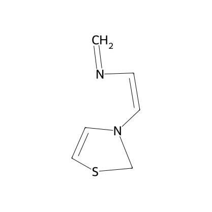 C=N/C=C\N1C=CSC1